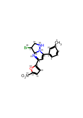 Cc1cccc(C2=CC(c3ccc([N+](=O)[O-])o3)=NC3C(Br)CNN23)c1